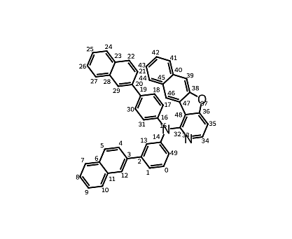 c1cc(-c2ccc3ccccc3c2)cc(N(c2ccc(-c3ccc4ccccc4c3)cc2)c2nccc3oc4cc5ccccc5cc4c23)c1